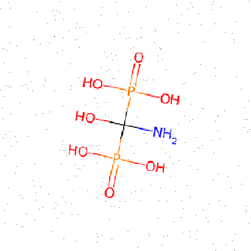 NC(O)(P(=O)(O)O)P(=O)(O)O